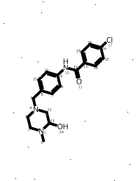 CN1CCN(Cc2ccc(NC(=O)c3ccc(Cl)cc3)cc2)CC1O